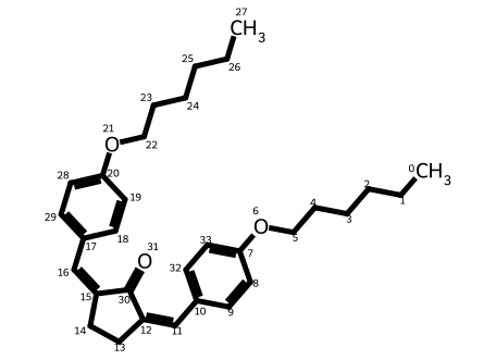 CCCCCCOc1ccc(C=C2CCC(=Cc3ccc(OCCCCCC)cc3)C2=O)cc1